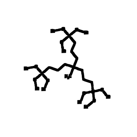 CCO[Si](CCC[Si](C)(CCC[Si](OCC)(OCC)OCC)CCC[Si](OCC)(OCC)OCC)(OCC)OCC